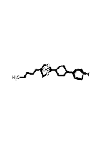 CCCCCC12COC(C3CCC(c4ccc(F)cc4)CC3)(OC1)OC2